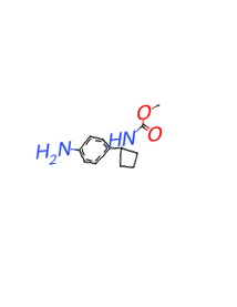 COC(=O)NC1(c2ccc(N)cc2)CCC1